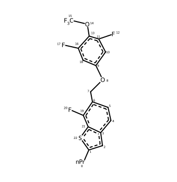 CCCc1cc2ccc(COc3cc(F)c(OC(F)(F)F)c(F)c3)c(F)c2s1